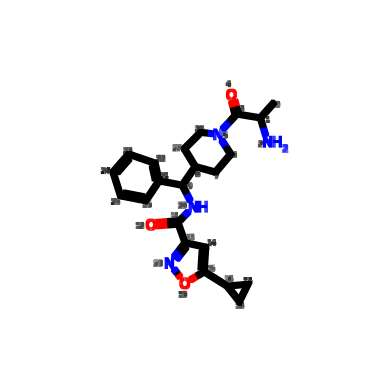 CC(N)C(=O)N1CCC(C(NC(=O)c2cc(C3CC3)on2)c2ccccc2)CC1